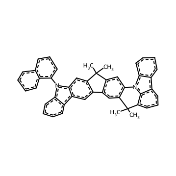 CC1(C)c2cc3c(cc2-c2cc4c5ccccc5n(-c5cccc6ccccc56)c4cc21)C(C)(C)c1cccc2c4ccccc4n-3c12